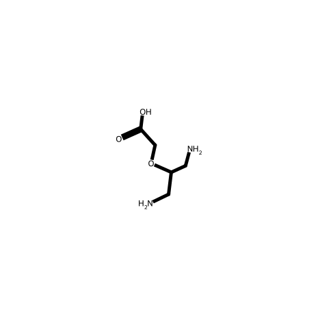 NCC(CN)OCC(=O)O